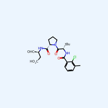 Cc1cccc(C(=O)N[C@H](C(=O)N2CCC[C@H]2C(=O)N[C@H](C=O)CC(=O)O)C(C)(C)C)c1Cl